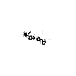 Cc1cccnc1Cc1ccc(OC(=O)N2CCC(Sc3nnnn3CCC(=O)O)CC2)cc1